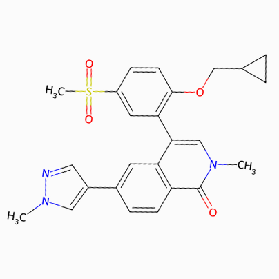 Cn1cc(-c2ccc3c(=O)n(C)cc(-c4cc(S(C)(=O)=O)ccc4OCC4CC4)c3c2)cn1